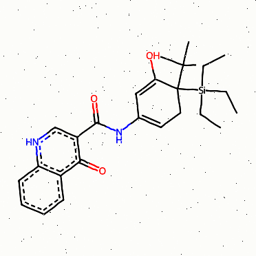 CC[Si](CC)(CC)C1(C(C)(C)C)CC=C(NC(=O)c2c[nH]c3ccccc3c2=O)C=C1O